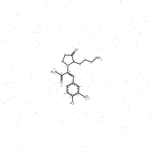 NCCCC1C(=O)CCN1C(=Cc1ccc(Cl)c([N+](=O)[O-])c1)C(N)=O